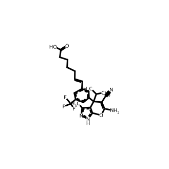 Cc1n[nH]c2c1C(c1cc(/C=C/CCCCC(=O)O)cc(C(F)(F)F)c1)(C(C)C)C(C#N)=C(N)O2